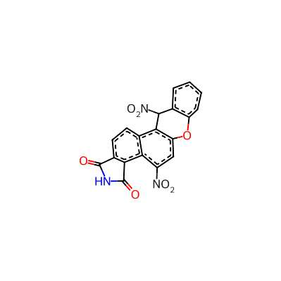 O=C1NC(=O)c2c1ccc1c3c(cc([N+](=O)[O-])c21)Oc1ccccc1C3[N+](=O)[O-]